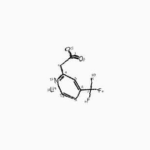 O=C([O-])Cc1cc(C(F)(F)F)ccn1.[Li+]